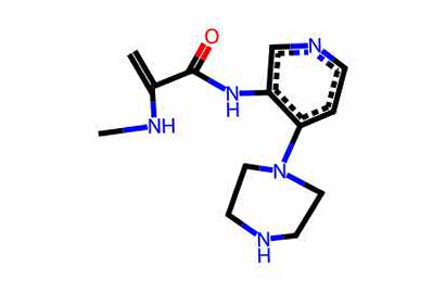 C=C(NC)C(=O)Nc1cnccc1N1CCNCC1